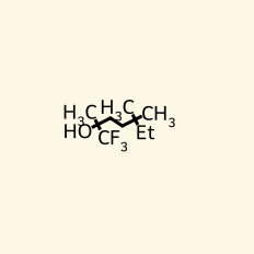 CCC(C)(C)CCC(C)(O)C(F)(F)F